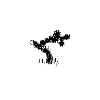 CC1(CN2CCC(CN3CCN(C(=O)OC(C)(C)C)CC3)CC2)CCC(c2ccc(Cl)cc2)=C(CN2CCN(c3ccc(C(=O)NS(=O)(=O)c4ccc(NC(CCN5CCOCC5)CSc5ccccc5)c(S(=O)(=O)C(F)(F)F)c4)cc3)CC2)C1